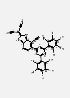 N#CC(C#N)=C1N=c2ccc(-c3nc(-c4c(F)c(F)c(F)c(F)c4F)nc(-c4c(F)c(F)c(F)c(F)c4F)n3)c(C#N)c2=N1